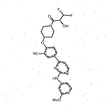 COc1cc(Nc2nccc(-c3ccc(OC4CCN(C(=O)[C@H](O)C(F)F)CC4)c(C#N)c3)n2)ccn1